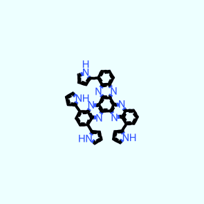 c1c[nH]c(-c2cccc3nc4c5nc6cccc(-c7ccc[nH]7)c6nc5c5nc6c(-c7ccc[nH]7)ccc(-c7ccc[nH]7)c6nc5c4nc23)c1